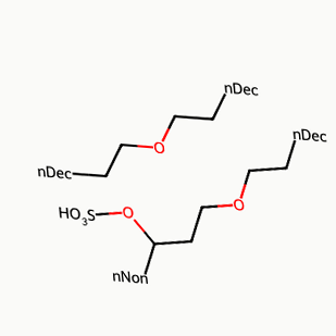 CCCCCCCCCCCCOCCC(CCCCCCCCC)OS(=O)(=O)O.CCCCCCCCCCCCOCCCCCCCCCCCC